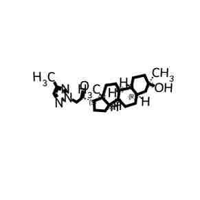 Cc1cnn(CC(=O)[C@H]2CC[C@H]3[C@@H]4CC[C@@H]5C[C@](C)(O)CC[C@@H]5[C@H]4CC[C@]23C)n1